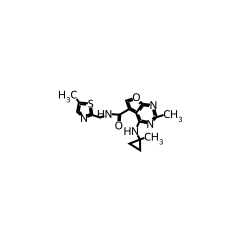 Cc1nc(NC2(C)CC2)c2c(C(=O)NCc3ncc(C)s3)coc2n1